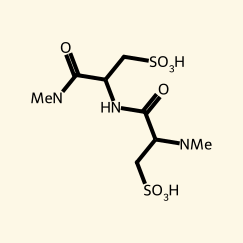 CNC(=O)C(CS(=O)(=O)O)NC(=O)C(CS(=O)(=O)O)NC